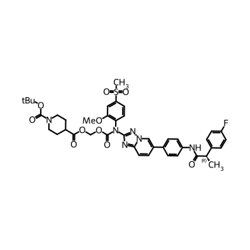 COc1cc(S(C)(=O)=O)ccc1N(C(=O)OCOC(=O)C1CCN(C(=O)OC(C)(C)C)CC1)c1nc2ccc(-c3ccc(NC(=O)[C@H](C)c4ccc(F)cc4)cc3)cn2n1